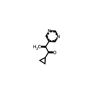 C=C(C(=O)C1CC1)c1cncnc1